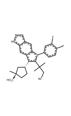 CC(C)(CC#N)c1c([C@@H]2CC[C@@](C)(C(=O)O)C2)c2cc3[nH]ncc3cc2n1-c1ccc(F)c(F)c1